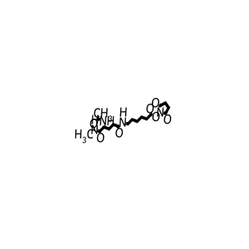 CNC(=O)C(CCC(=O)NCCCCCC(=O)ON1C(=O)CCC1=O)NC(C)=O